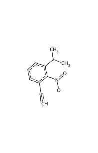 C#Cc1cccc([C](C)C)c1[N+](=O)[O-]